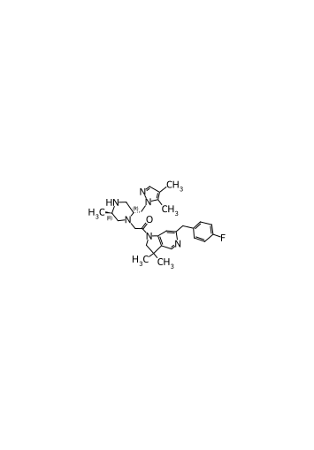 Cc1cnn(C[C@H]2CN[C@H](C)CN2CC(=O)N2CC(C)(C)c3cnc(Cc4ccc(F)cc4)cc32)c1C